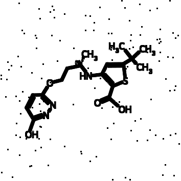 C[C@@H](CCOc1ccc(O)nn1)Nc1cc(C(C)(C)C)sc1C(=O)O